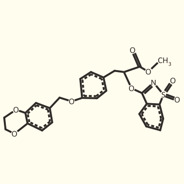 COC(=O)C(Cc1ccc(OCc2ccc3c(c2)OCCO3)cc1)OC1=NS(=O)(=O)c2ccccc21